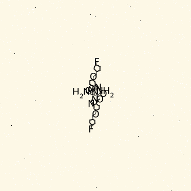 NC(=O)CC(CC(N)=O)(n1cnc2cc(OCc3ccc(F)cc3)ccc2c1=O)n1cnc2cc(OCc3ccc(F)cc3)ccc2c1=O